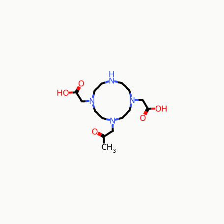 CC(=O)CN1CCN(CC(=O)O)CCNCCN(CC(=O)O)CC1